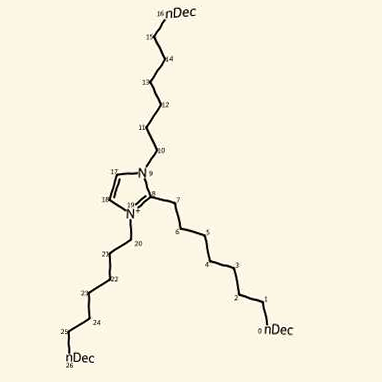 CCCCCCCCCCCCCCCCCc1n(CCCCCCCCCCCCCCCC)cc[n+]1CCCCCCCCCCCCCCCC